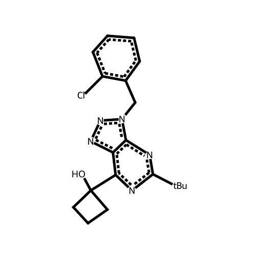 CC(C)(C)c1nc(C2(O)CCC2)c2nnn(Cc3ccccc3Cl)c2n1